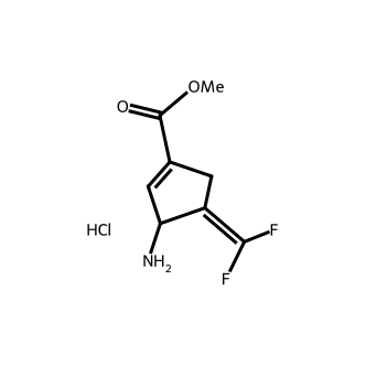 COC(=O)C1=CC(N)C(=C(F)F)C1.Cl